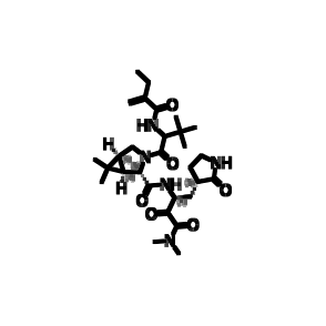 C=C(CC)C(=O)NC(C(=O)N1C[C@H]2[C@@H]([C@H]1C(=O)N[C@@H](C[C@@H]1CCNC1=O)C(=O)C(=O)N(C)C)C2(C)C)C(C)(C)C